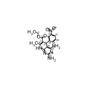 CCOC(=O)C1=C(C)Nc2nc(N)nc(N)c2C1c1cccc([N+](=O)[O-])c1